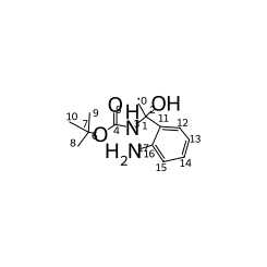 [CH2]C(O)(NC(=O)OC(C)(C)C)c1ccccc1N